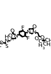 COC(=S)NC[C@H]1CN(c2cc(F)c(N3CC(=O)N(CC(=O)OC(C)(C)C)C3)c(F)c2)C(=O)O1